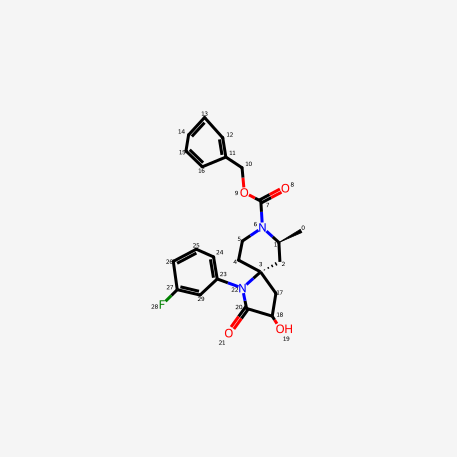 C[C@H]1C[C@]2(CCN1C(=O)OCc1ccccc1)CC(O)C(=O)N2c1cccc(F)c1